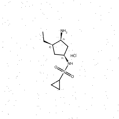 CC[C@@H]1C[C@H](NS(=O)(=O)C2CC2)C[C@@H]1N.Cl